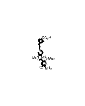 COc1nc(N)c(Cl)cc1C(=O)N[C@@H]1CCN(CCCc2ccc(C(=O)O)cc2)C[C@@H]1OC